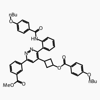 CCCCOc1ccc(C(=O)Nc2ccccc2-c2nnc(-c3cccc(C(=O)OC)c3)cc2C2CC(OC(=O)c3ccc(OCCCC)cc3)C2)cc1